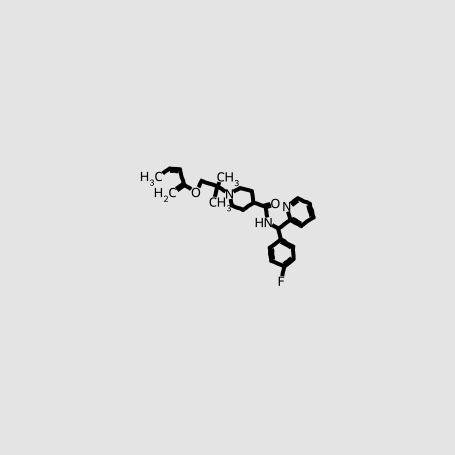 C=C(/C=C\C)OCC(C)(C)N1CCC(C(=O)NC(c2ccc(F)cc2)c2ccccn2)CC1